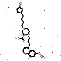 COc1ccc2nccc(CCC[C@@H]3CCN(CCCCc4ccc(Cl)s4)C[C@@H]3C(=O)O)c2c1